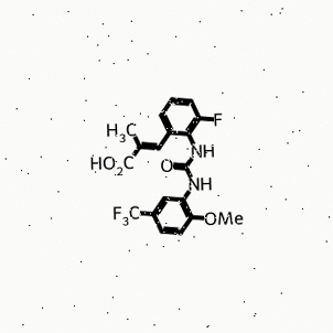 COc1ccc(C(F)(F)F)cc1NC(=O)Nc1c(F)cccc1/C=C(\C)C(=O)O